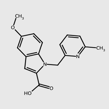 COc1ccc2c(c1)cc(C(=O)O)n2Cc1cccc(C)n1